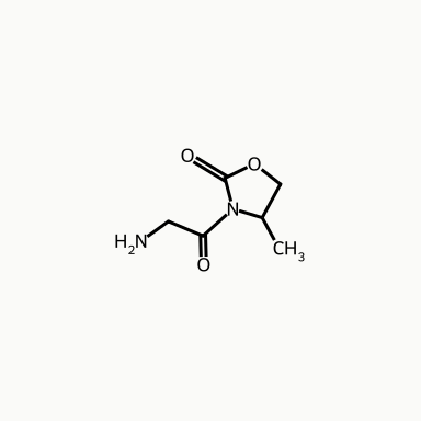 CC1COC(=O)N1C(=O)CN